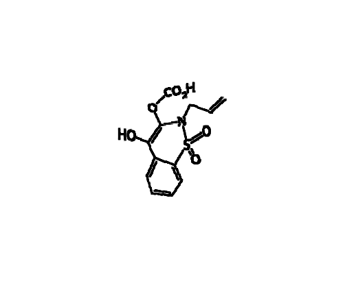 C=CCN1C(OC(=O)O)=C(O)c2ccccc2S1(=O)=O